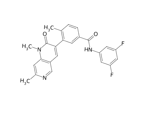 Cc1cc2c(cn1)cc(-c1cc(C(=O)Nc3cc(F)cc(F)c3)ccc1C)c(=O)n2C